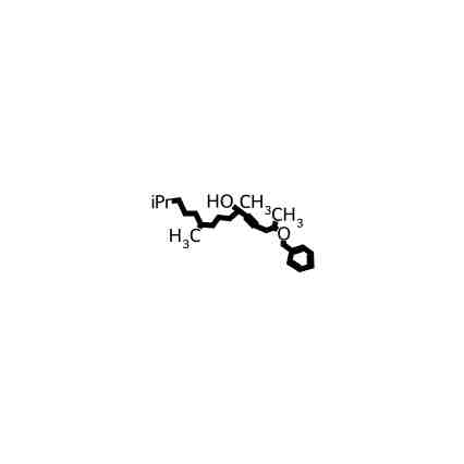 CC(C)CCCC(C)CCCC(C)(O)C#CCC(C)OCc1ccccc1